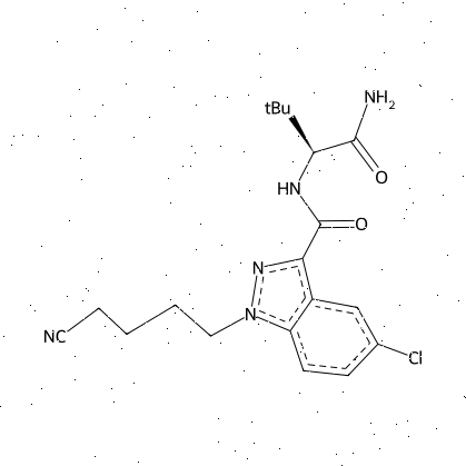 CC(C)(C)[C@H](NC(=O)c1nn(CCCCC#N)c2ccc(Cl)cc12)C(N)=O